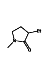 CCC1CCN(C)C1=O